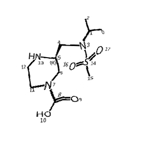 CC(C)N(C[C@H]1CN(C(=O)O)CCN1)S(C)(=O)=O